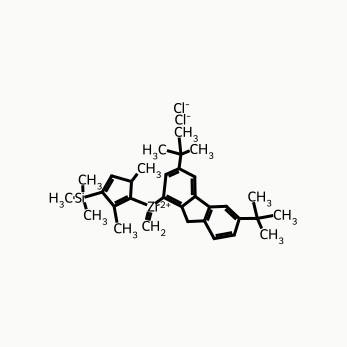 [CH2]=[Zr+2]([C]1=C(C)C([Si](C)(C)C)=CC1C)[c]1cc(C(C)(C)C)cc2c1Cc1ccc(C(C)(C)C)cc1-2.[Cl-].[Cl-]